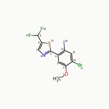 COc1cc(-c2ncc(C(F)F)s2)c(I)cc1Br